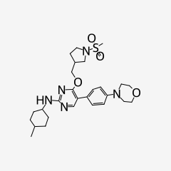 CC1CCC(Nc2ncc(-c3ccc(N4CCOCC4)cc3)c(OCC3CCN(S(C)(=O)=O)C3)n2)CC1